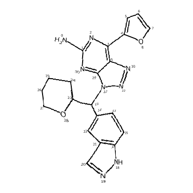 Nc1nc(-c2ccco2)c2nnn(C(c3ccc4[nH]ncc4c3)C3CCCCO3)c2n1